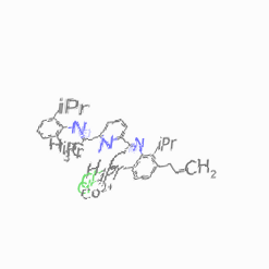 C=CCc1ccc(C(C)C)c(/N=C(\C)c2cccc(/C(C)=N/c3c(C(C)C)cccc3C(C)C)n2)c1C(C)C.[Cl-].[Cl-].[Co+2]